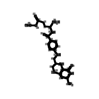 Nc1nc2c(c(=O)[nH]1)NC(CNc1ccc(C(=O)NC(CCC(=O)OC=O)C(=O)O)cc1)CN2